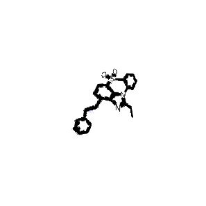 CCc1nc2c(/C=C/c3ccccc3)ccc3c2n1-c1ccccc1S3(=O)=O